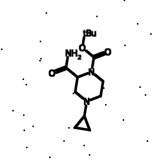 CC(C)(C)OC(=O)N1CCN(C2CC2)CC1C(N)=O